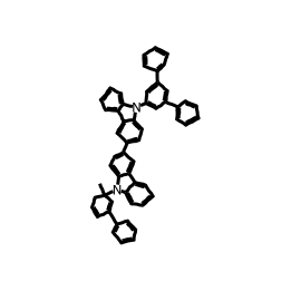 CC1(n2c3ccccc3c3cc(-c4ccc5c(c4)c4ccccc4n5-c4cc(-c5ccccc5)cc(-c5ccccc5)c4)ccc32)C=C(c2ccccc2)C=CC1